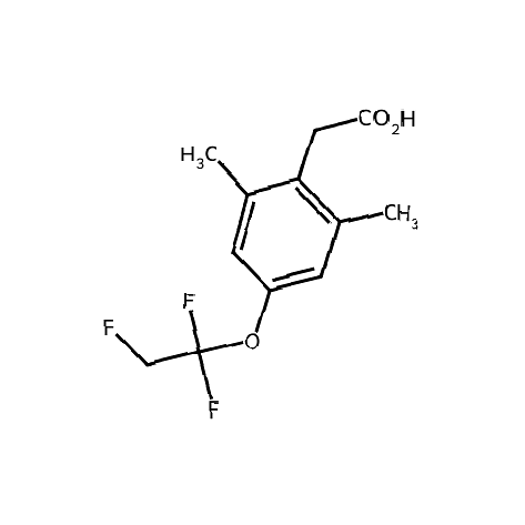 Cc1cc(OC(F)(F)CF)cc(C)c1CC(=O)O